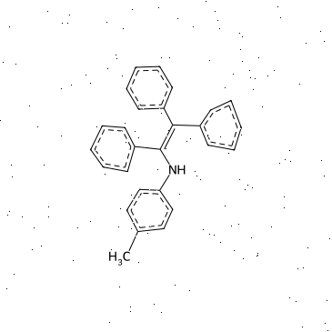 Cc1ccc(NC(=C(c2ccccc2)c2ccccc2)c2ccccc2)cc1